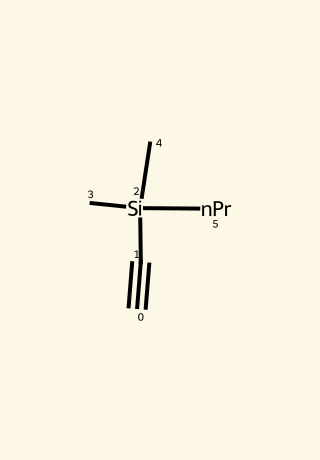 C#C[Si](C)(C)CCC